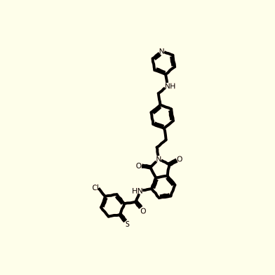 O=C(Nc1cccc2c1C(=O)N(CCc1ccc(CNc3ccncc3)cc1)C2=O)C1=CC(Cl)=CCC1=S